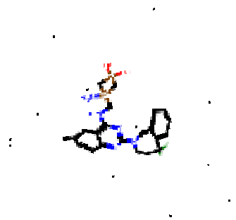 Cc1ccc2nc(N3CCC(F)(F)c4ccccc4C3)nc(NCS3(N)CS(O)(O)C3)c2c1